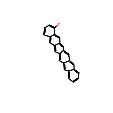 [O]c1cccc2cc3cc4cc5cc6ccccc6cc5cc4cc3cc12